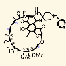 CO[C@H]1/C=C/O[C@@]2(C)Oc3c(C)c(O)c4c(c3C2=O)C2=NC3(CCN(Cc5ccccc5)CC3)CNC2=C(NC(=O)/C(C)=C\C=C\[C@H](C)[C@H](O)[C@@H](C)[C@@H](O)[C@@H](C)[C@H](OC(C)=O)[C@@H]1C)C4=O